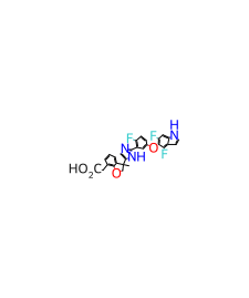 CC1(c2cnc(-c3cc(Oc4c(F)cc5[nH]ccc5c4F)ccc3F)[nH]2)COc2c(CC(=O)O)cccc21